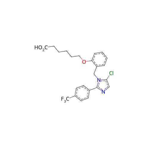 O=C(O)CCCCCOc1ccccc1Cn1c(Cl)cnc1-c1ccc(C(F)(F)F)cc1